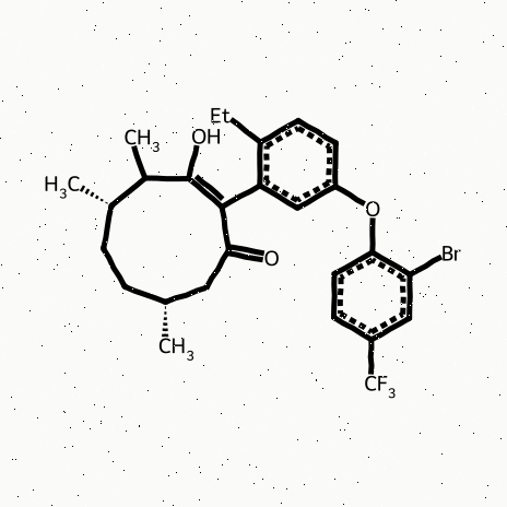 CCc1ccc(Oc2ccc(C(F)(F)F)cc2Br)cc1/C1=C(\O)C(C)[C@@H](C)CC[C@@H](C)CC1=O